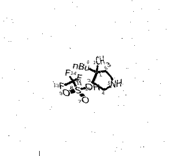 CCCCC1(C)CCNC1.O=S(=O)(O)C(F)(F)F